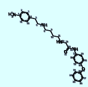 Nc1ccc(CCNCCCCNCC(=O)Nc2ccc(Oc3ccccc3)cc2)cc1